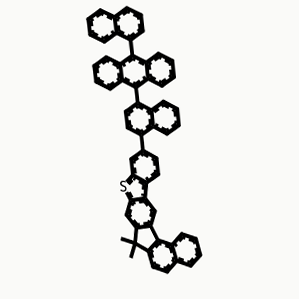 CC1(C)c2cc3sc4cc(-c5ccc(-c6c7ccccc7c(-c7cccc8ccccc78)c7ccccc67)c6ccccc56)ccc4c3cc2-c2c1ccc1ccccc21